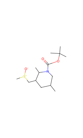 CC1CC(C[S+](C)[O-])C(C)N(C(=O)OC(C)(C)C)C1